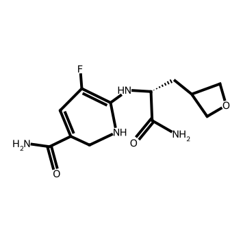 NC(=O)C1=CC(F)=C(N[C@H](CC2COC2)C(N)=O)NC1